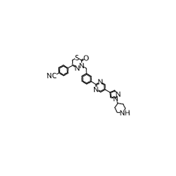 N#Cc1ccc(C2=NN(Cc3cccc(-c4ncc(-c5cnn(C6CCNCC6)c5)cn4)c3)C(=O)SC2)cc1